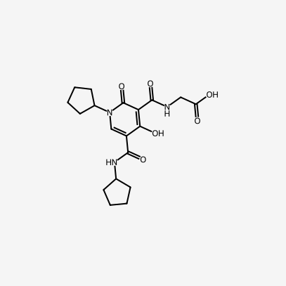 O=C(O)CNC(=O)c1c(O)c(C(=O)NC2CCCC2)cn(C2CCCC2)c1=O